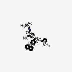 CC(=O)N(C)C/C=C/C(=O)N1CCN(c2nc(OCC3CCCN3C)nc3c2CCN(c2cccc4cccc(C)c24)C3)CC1CC#N